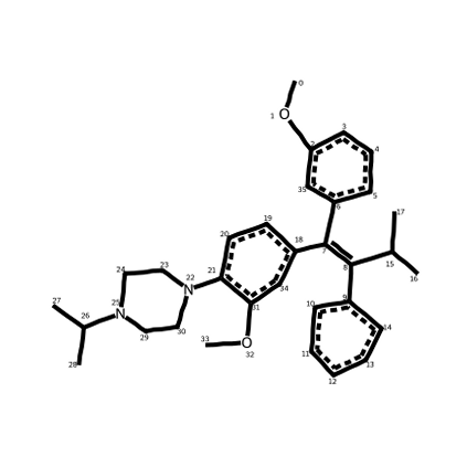 COc1cccc(/C(=C(/c2ccccc2)C(C)C)c2ccc(N3CCN(C(C)C)CC3)c(OC)c2)c1